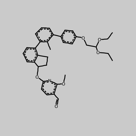 CCOC(COc1ccc(-c2cccc(-c3cccc4c3CCC4Oc3ccc(C=O)c(OC)n3)c2C)cc1)OCC